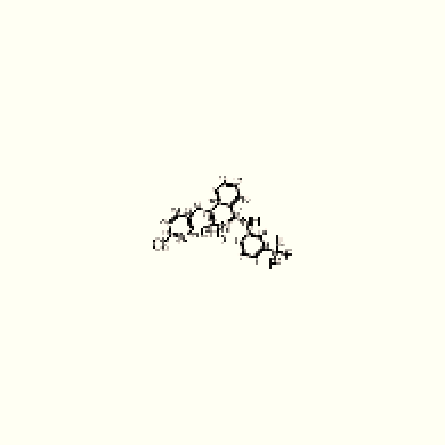 Cc1nc(Nc2cccc(C(F)(F)F)c2)c2ccccc2c1Cc1ccc(Cl)nc1